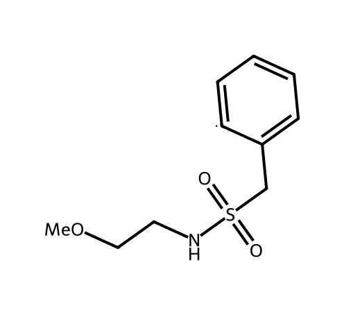 COCCNS(=O)(=O)Cc1[c]cccc1